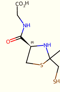 CC1(CS)N[C@H](C(=O)NCC(=O)O)CS1